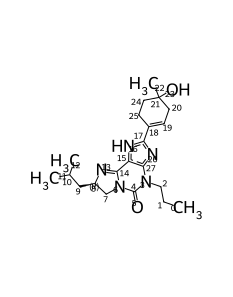 CCCN1C(=O)N2C[C@@H](CC(C)C)N=C2c2[nH]c(C3=CCC(C)(O)CC3)nc21